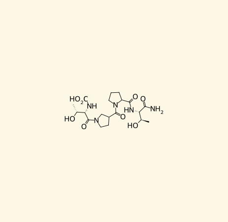 C[C@@H](O)[C@H](NC(=O)C1CCCN1C(=O)C1CCN(C(=O)[C@@H](NC(=O)O)[C@@H](C)O)C1)C(N)=O